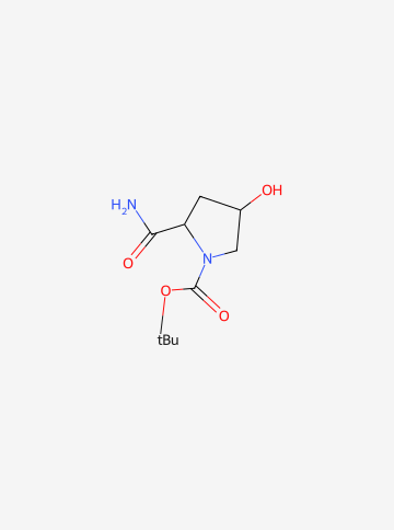 CC(C)(C)OC(=O)N1CC(O)CC1C(N)=O